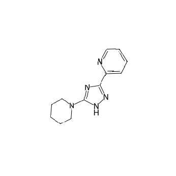 c1ccc(-c2n[nH]c(N3CCCCC3)n2)nc1